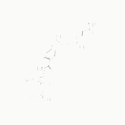 CC(C)CCCC(C)CCCC(C)Cc1ccc(C(=O)NCC[N+](C)(C)CCN(C)C)c(Cl)c1